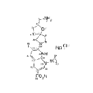 Cl.Cl.NCC1COC2(CCN(C3=C(F)C=C4CC(C(=O)O)=CN(C5CC5)C4N3)C2)O1